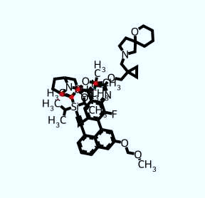 COCOc1cc(-c2c(F)cc3c(N4CC5CCC(C4)N5C(=O)OC(C)(C)C)nc(OCC4(CN5CCC6(CCCCO6)C5)CC4)nc3c2F)c2c(C#C[Si](C(C)C)(C(C)C)C(C)C)cccc2c1